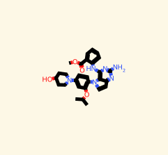 COC(=O)c1ccccc1Nc1nc(N)nc2ccn(-c3ccc(N4CCC(O)CC4)cc3OC(C)C)c12